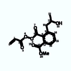 C=CC(=O)OOC(=O)c1c(CC(C)O)cccc1C(=O)OC